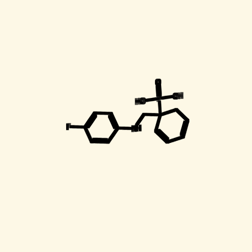 O=P(O)(O)C1(CNc2ccc(F)cc2)C=CC=CC1